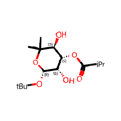 CC(C)C(=O)O[C@@H]1[C@H](O)[C@H](OC(C)(C)C)OC(C)(C)[C@H]1O